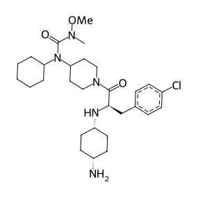 CON(C)C(=O)N(C1CCCCC1)C1CCN(C(=O)[C@@H](Cc2ccc(Cl)cc2)N[C@H]2CC[C@@H](N)CC2)CC1